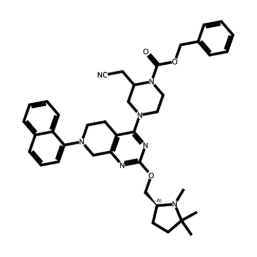 CN1[C@H](COc2nc3c(c(N4CCN(C(=O)OCc5ccccc5)C(CC#N)C4)n2)CCN(c2cccc4ccccc24)C3)CCC1(C)C